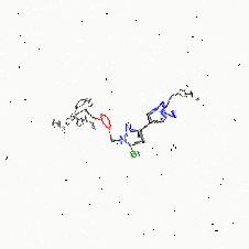 CCn1cc(-c2cc(Br)n(COCC[Si](C)(C)C)n2)cn1